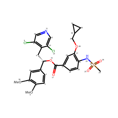 COc1ccc([C@H](Cc2c(Cl)cncc2Cl)OC(=O)c2ccc(NS(C)(=O)=O)c(OCC3CC3)c2)cc1OC